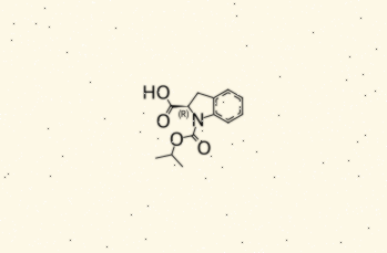 CC(C)OC(=O)N1c2ccccc2C[C@@H]1C(=O)O